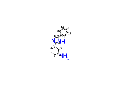 N[C@@H]1CCC[C@H](c2ncc(-c3ccccc3)[nH]2)C1